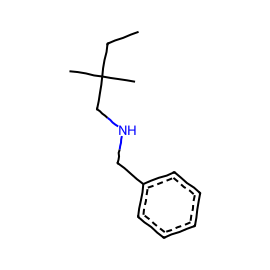 CCC(C)(C)CNCc1ccccc1